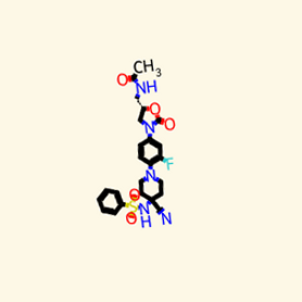 CC(=O)NC[C@H]1CN(c2ccc(N3CCC(C#N)(NS(=O)(=O)c4ccccc4)CC3)c(F)c2)C(=O)O1